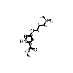 COC(=O)c1cc(OCCCN(C)C)n[nH]1